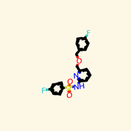 O=S(=O)(Nc1cccc(COCc2ccc(F)cc2)n1)c1ccc(F)cc1